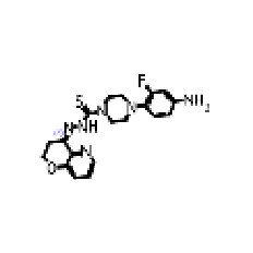 Nc1ccc(N2CCN(C(=S)N/N=C3/CCOc4cccnc43)CC2)c(F)c1